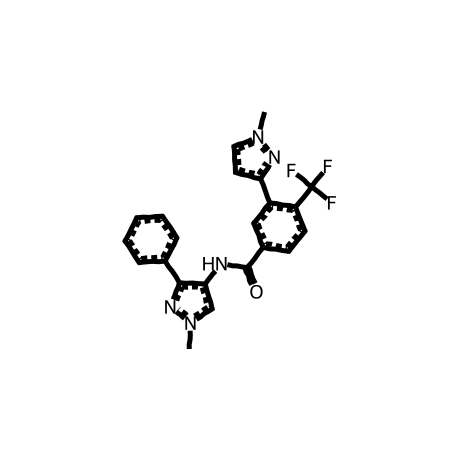 Cn1ccc(-c2cc(C(=O)Nc3cn(C)nc3-c3ccccc3)ccc2C(F)(F)F)n1